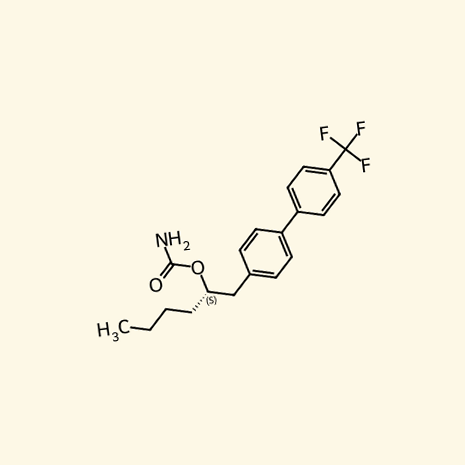 CCCC[C@@H](Cc1ccc(-c2ccc(C(F)(F)F)cc2)cc1)OC(N)=O